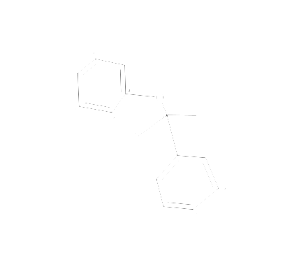 CC(C)(Oc1ccccc1)c1ccccc1